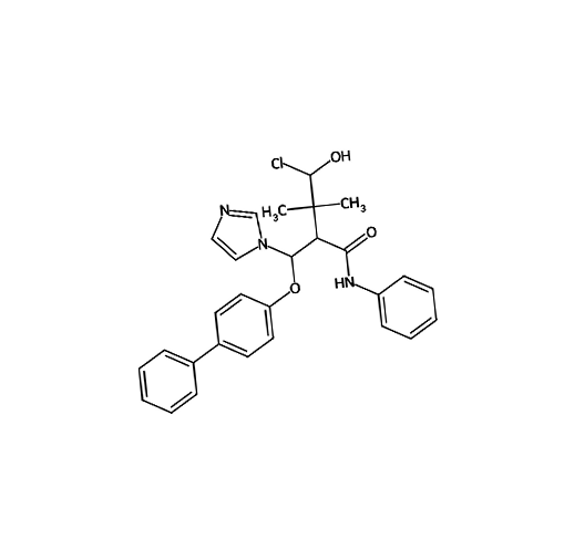 CC(C)(C(O)Cl)C(C(=O)Nc1ccccc1)C(Oc1ccc(-c2ccccc2)cc1)n1ccnc1